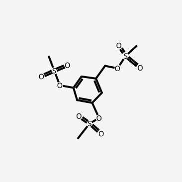 CS(=O)(=O)OCc1cc(OS(C)(=O)=O)cc(OS(C)(=O)=O)c1